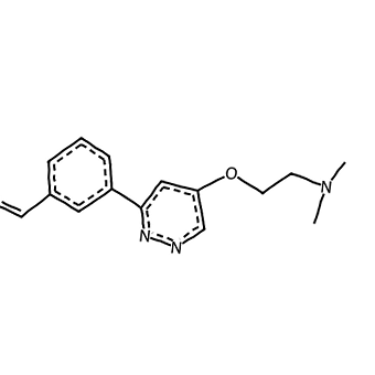 CN(C)CCOc1cnnc(-c2cccc(C=O)c2)c1